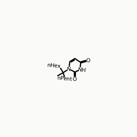 CCCCCCC(C)(CCCCC)n1ccc(=O)[nH]c1=O